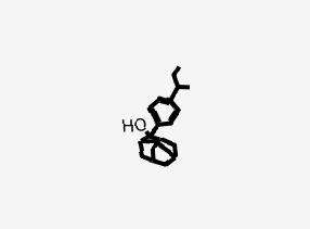 CCC(C)c1ccc(C2(O)C3CC4CC(C3)CC2C4)cc1